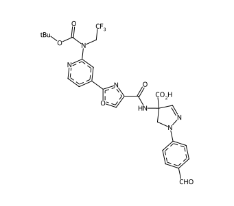 CC(C)(C)OC(=O)N(CC(F)(F)F)c1cc(-c2nc(C(=O)NC3(C(=O)O)C=NN(c4ccc(C=O)cc4)C3)co2)ccn1